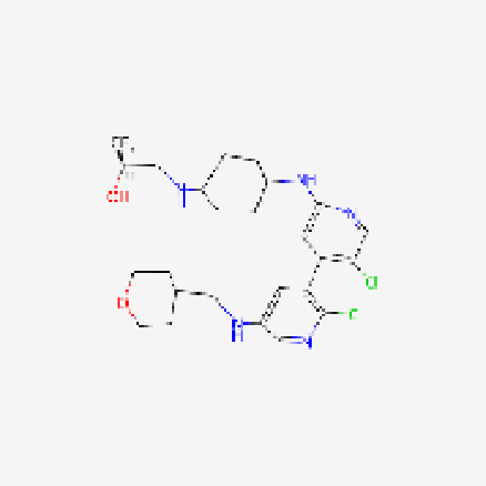 O[C@H](CNC1CCC(Nc2cc(-c3cc(NCC4CCOCC4)cnc3Cl)c(Cl)cn2)CC1)C(F)(F)F